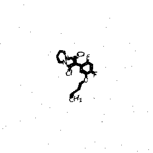 C=CCCOc1cc(-c2c(Cl)n3n(c2=O)CCCC3)c(F)cc1F